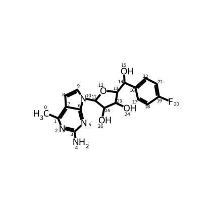 Cc1nc(N)nc2c1ccn2C1OC(C(O)c2ccc(F)cc2)C(O)C1O